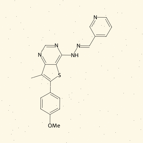 COc1ccc(-c2sc3c(NN=Cc4cccnc4)ncnc3c2C)cc1